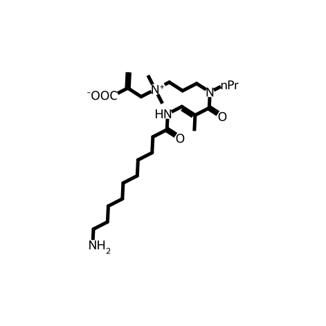 C=C(C[N+](C)(C)CCCN(CCC)C(=O)C(C)=CNC(=O)CCCCCCCCCN)C(=O)[O-]